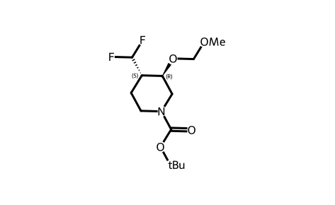 COCO[C@H]1CN(C(=O)OC(C)(C)C)CC[C@@H]1C(F)F